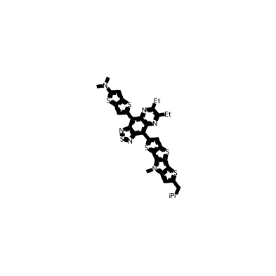 CCc1nc2c(-c3cc4sc(N(C)C)cc4s3)c3nsnc3c(-c3cc4sc5c6sc(CC(C)C)cc6n(C)c5c4s3)c2nc1CC